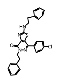 O=c1c2nc(NCCc3ccccc3)sc2c(-c2ccc(Cl)cc2)nn1CCc1ccccc1